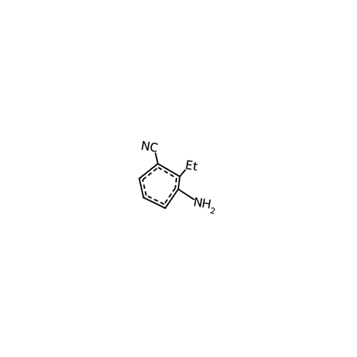 [CH2]Cc1c(N)cccc1C#N